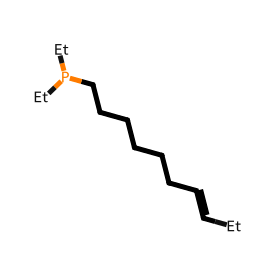 CCC=CCCCCCCP(CC)CC